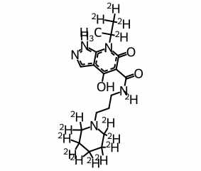 [2H]N(CCCN1C([2H])([2H])C([2H])([2H])C([2H])([2H])C([2H])([2H])C1([2H])[2H])C(=O)c1c(O)c2cn[nH]c2n(C([2H])(C)C([2H])([2H])[2H])c1=O